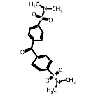 CN(C)S(=O)(=O)c1ccc(C(=O)c2ccc(S(=O)(=O)N(C)C)cc2)cc1